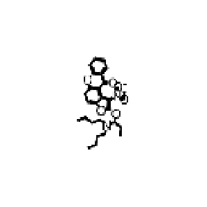 CCCCN(CCCC)C(CC)Oc1oc2c(c1[N+](=O)[O-])=C(C(=O)c1ccccc1)C(=O)CC=2